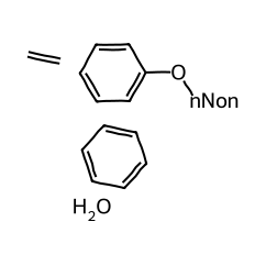 C=C.CCCCCCCCCOc1ccccc1.O.c1ccccc1